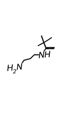 C=C(NCCCN)C(C)(C)C